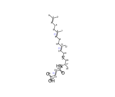 CC(C)=CCC/C(C)=C/CC/C(C)=C/CSCC(C)NC(=O)/C=C/C(=O)O